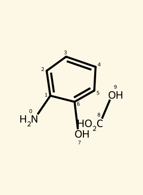 Nc1ccccc1O.O=C(O)O